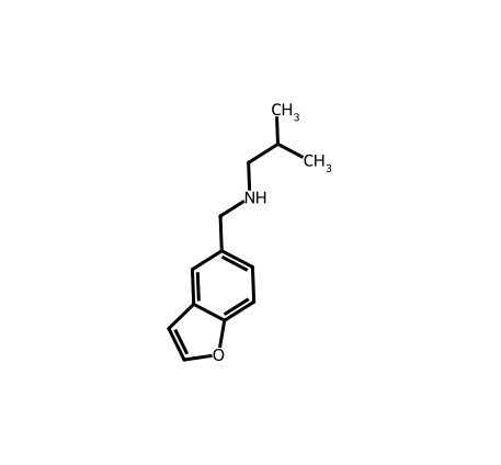 CC(C)CNCc1ccc2occc2c1